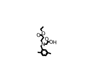 CCOC(=O)CCN(CC(=O)O)Cc1cc(C)ccc1C